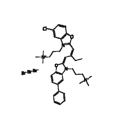 CCC(=Cc1oc2ccc(Cl)cc2[n+]1CCC[N+](C)(C)C)C=C1Oc2ccc(-c3ccccc3)cc2N1CCC[N+](C)(C)C.[Br-].[Br-].[Br-]